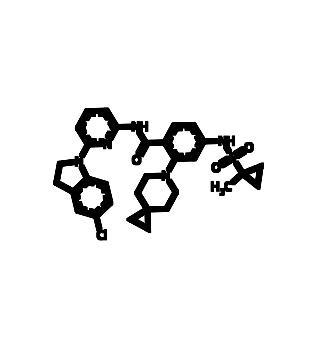 CC1(S(=O)(=O)Nc2ccc(C(=O)Nc3cccc(N4CCc5cc(Cl)ccc54)n3)c(N3CCC4(CC3)CC4)c2)CC1